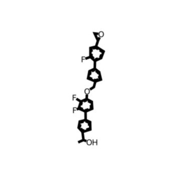 CC(O)c1ccc(-c2ccc(OCc3ccc(-c4ccc(C5CO5)cc4F)cc3)c(F)c2F)cc1